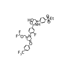 CCS(=O)(=O)c1ccc([C@H](CO)NC(=O)c2ccc(N3C[C@@H](Oc4ccc(C(F)(F)F)cc4)C[C@H]3COC(F)F)c(F)c2)cc1